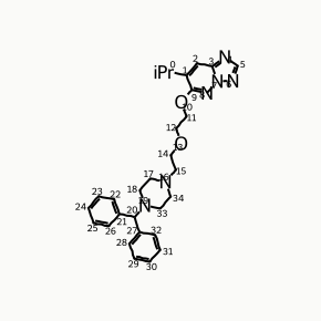 CC(C)c1cc2ncnn2nc1OCCOCCN1CCN(C(c2ccccc2)c2ccccc2)CC1